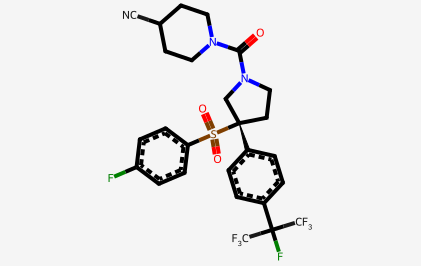 N#CC1CCN(C(=O)N2CC[C@](c3ccc(C(F)(C(F)(F)F)C(F)(F)F)cc3)(S(=O)(=O)c3ccc(F)cc3)C2)CC1